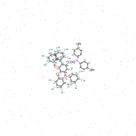 CC(C)c1ccc([I+]c2ccc(C(C)C)cc2)cc1.O=C([O-])c1cc(Oc2c(F)c(F)c(F)c(F)c2F)c(Oc2c(F)c(F)c(F)c(F)c2F)c(Oc2c(F)c(F)c(F)c(F)c2F)c1-c1c(F)c(F)c(F)c(F)c1F